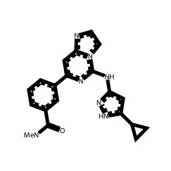 CNC(=O)c1cccc(-c2cc3nccn3c(Nc3cc(C4CC4)[nH]n3)n2)c1